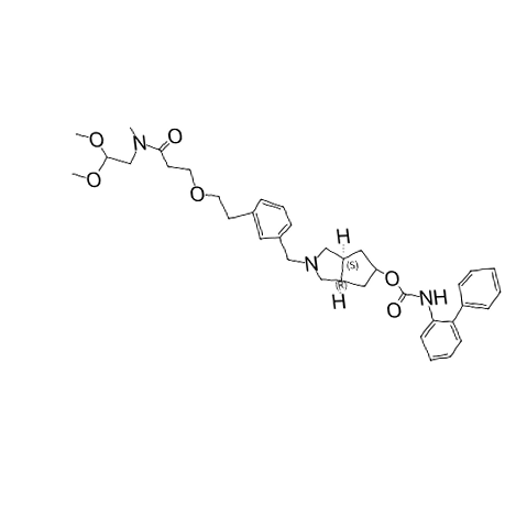 COC(CN(C)C(=O)CCOCCc1cccc(CN2C[C@H]3CC(OC(=O)Nc4ccccc4-c4ccccc4)C[C@H]3C2)c1)OC